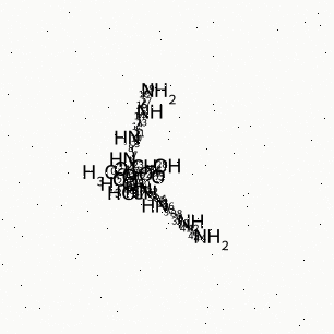 CC(C)OC(CNCCCNCCCCNCCCN)OC(C(C)OCC(=O)O)C(CNCCCNCCCCNCCCN)C(C)(C)O